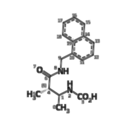 CC(NC(=O)O)[C@H](C)C(=O)NCc1cccc2ccccc12